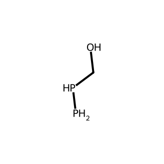 OCPP